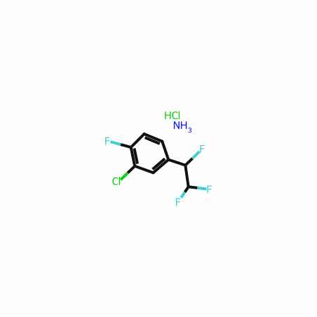 Cl.Fc1ccc(C(F)C(F)F)cc1Cl.N